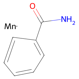 NC(=O)c1ccccc1.[Mn]